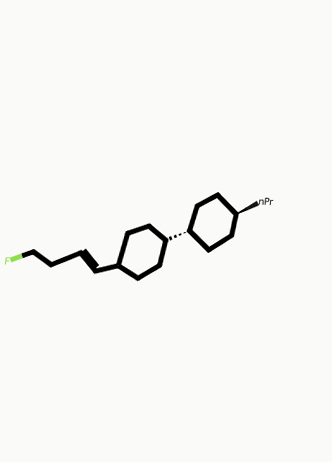 CCC[C@H]1CC[C@H](C2CCC(/C=C/CCF)CC2)CC1